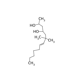 CCCCCC=CC(C)(C)CC(O)CC(C)O